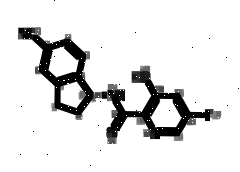 N#Cc1ccc2c(c1)CC[C@H]2NC(=O)c1ncc(F)cc1O